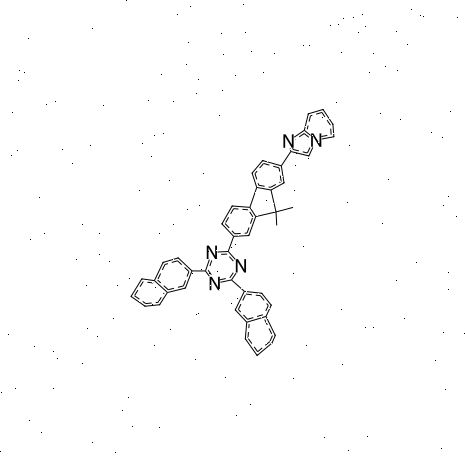 CC1(C)c2cc(-c3cn4ccccc4n3)ccc2-c2ccc(-c3nc(-c4ccc5ccccc5c4)nc(-c4ccc5ccccc5c4)n3)cc21